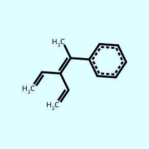 C=CC(C=C)=C(C)c1ccccc1